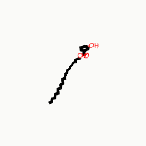 CCCCCCCCCCCCCCCCCCCCCCOC(=O)c1cccc(O)c1